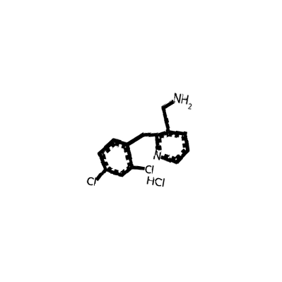 Cl.NCc1cccnc1Cc1ccc(Cl)cc1Cl